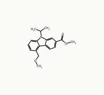 COCc1cccc2c1c1ccc(C(=O)OC)cc1n2C(C)C